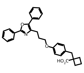 O=C(O)C1(Cc2ccc(OCCCc3nc(-c4ccccc4)oc3-c3ccccc3)cc2)CCC1